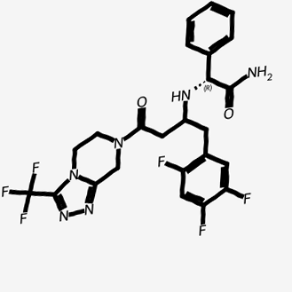 NC(=O)[C@H](NC(CC(=O)N1CCn2c(nnc2C(F)(F)F)C1)Cc1cc(F)c(F)cc1F)c1ccccc1